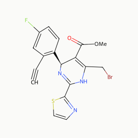 C#Cc1cc(F)ccc1[C@@H]1N=C(c2nccs2)NC(CBr)=C1C(=O)OC